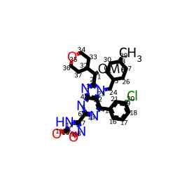 COC(c1nc2nc(-c3noc(=O)[nH]3)nc(-c3cccc(Cl)c3)c2n1CC1CCC(C)CC1)C1CCOCC1